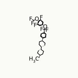 CC[C@H]1CC[C@H]([C@H]2CC[C@H](c3ccc(C(F)(F)Oc4cc(F)c(OC(F)F)c(F)c4)cc3)CC2)CC1